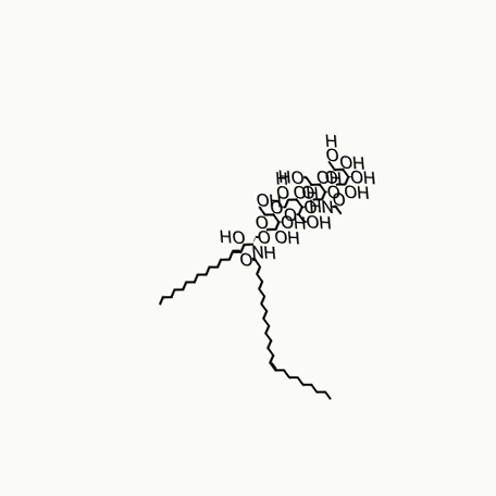 CCCCCCCC/C=C\CCCCCCCCCCCCCC(=O)N[C@@H](CO[C@@H]1OC(CO)[C@@H](O[C@@H]2OC(CO)[C@H](O[C@@H]3OC(CO)[C@H](O)[C@H](O[C@@H]4OC(CO)[C@H](O)[C@H](O)C4O)C3NC(C)=O)[C@H](O)C2O)[C@H](O)C1O)[C@H](O)/C=C/CCCCCCCCCCCCC